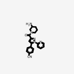 N#Cc1ccc(-c2cc(C(=O)N3CCCC(N)C3)nn2-c2ccccn2)cc1